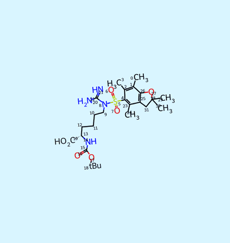 Cc1c(C)c(S(=O)(=O)N(CCCC[C@H](NC(=O)OC(C)(C)C)C(=O)O)C(=N)N)c(C)c2c1OC(C)(C)C2